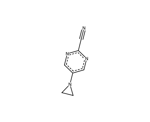 N#Cc1ncc(N2CC2)cn1